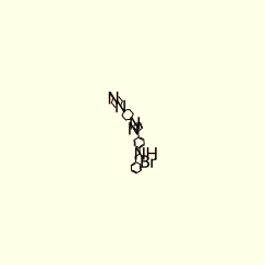 CN1CCN([C@H]2CC[C@@H](n3ccc(-c4ccc(NCc5ccccc5Br)cc4)n3)CC2)CC1